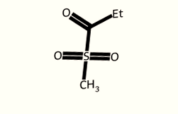 CCC(=O)S(C)(=O)=O